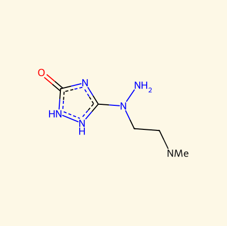 CNCCN(N)c1nc(=O)[nH][nH]1